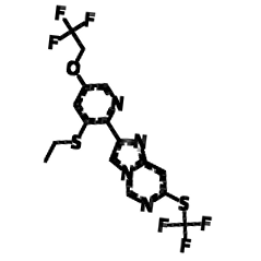 CCSc1cc(OCC(F)(F)F)cnc1-c1cn2cnc(SC(F)(F)F)cc2n1